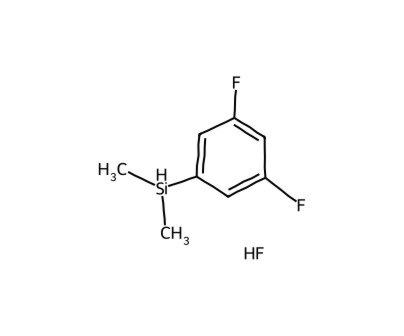 C[SiH](C)c1cc(F)cc(F)c1.F